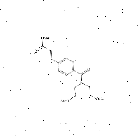 COCCN(CCOC)C(=O)c1ccc(C=CC(=O)OC)cc1